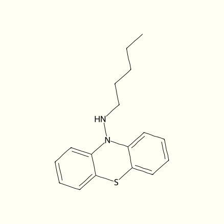 CCCCCNN1c2ccccc2Sc2ccccc21